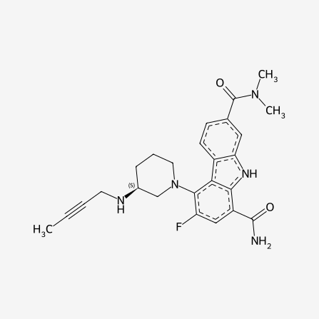 CC#CCN[C@H]1CCCN(c2c(F)cc(C(N)=O)c3[nH]c4cc(C(=O)N(C)C)ccc4c23)C1